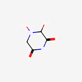 O=C1CN(O)C(O)C(=O)N1